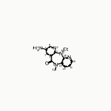 CCN1c2ncc(N)cc2C(=O)N(C)c2cccnc21